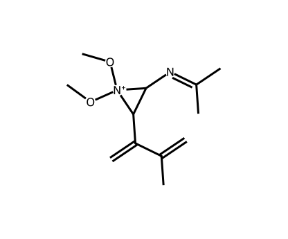 C=C(C)C(=C)C1C(N=C(C)C)[N+]1(OC)OC